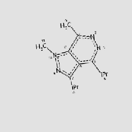 Cc1nnc(C(C)C)c2c(C(C)C)nn(C)c12